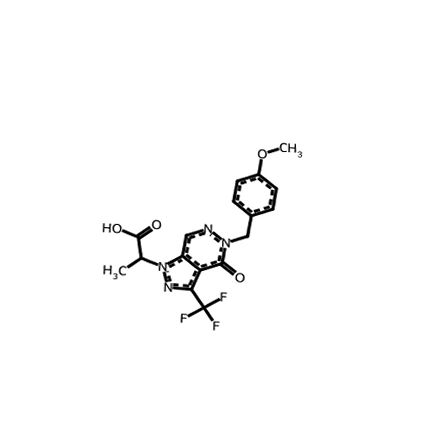 COc1ccc(Cn2ncc3c(c(C(F)(F)F)nn3C(C)C(=O)O)c2=O)cc1